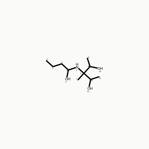 CCCC(O)NC(C)(C(C)O)C(C)O